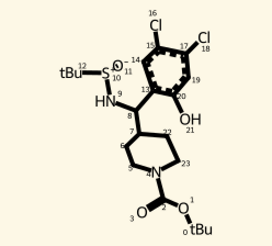 CC(C)(C)OC(=O)N1CCC(C(N[S+]([O-])C(C)(C)C)c2cc(Cl)c(Cl)cc2O)CC1